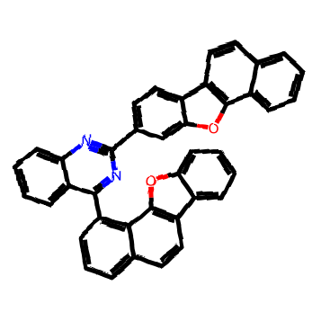 c1ccc2c(c1)ccc1c3ccc(-c4nc(-c5cccc6ccc7c8ccccc8oc7c56)c5ccccc5n4)cc3oc21